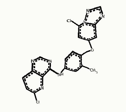 Cc1cc(Nc2ncnc3ccc(Cl)nc23)ccc1Oc1cc(Cl)n2ncnc2c1